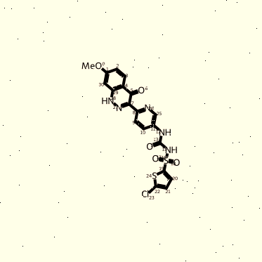 COc1ccc2c(=O)c(-c3ccc(NC(=O)NS(=O)(=O)c4ccc(Cl)s4)cn3)n[nH]c2c1